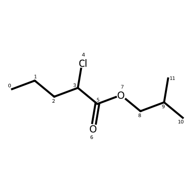 CCCC(Cl)C(=O)OCC(C)C